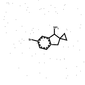 NC1c2cc(Br)ccc2CC12CC2